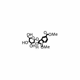 COC(=O)c1ccc2c(c1)c(O[C@@H]1O[C@H](CO)[C@@H](O)[C@H](O)[C@H]1O)cn2OC